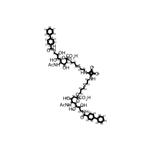 CC(=O)N[C@H]1[C@H]([C@H](O)[C@H](O)CNC(=O)c2ccc(-c3ccccc3)cc2)O[C@@](OCCCSCCNc2c(NCCSCCCO[C@]3(C(=O)O)C[C@H](O)[C@@H](NC(C)=O)C([C@H](O)[C@H](O)CNC(=O)c4ccc(-c5ccccc5)cc4)O3)c(=O)c2=O)(C(=O)O)C[C@@H]1O